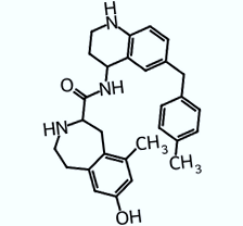 Cc1ccc(Cc2ccc3c(c2)C(NC(=O)C2Cc4c(C)cc(O)cc4CCN2)CCN3)cc1